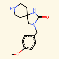 COc1ccc(CN2CC3(CCNCC3)NC2=O)cc1